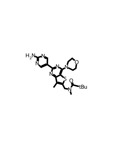 Cc1c(CN(C)C(=O)C(C)(C)C)sc2c(N3CCOCC3)nc(-c3cnc(N)nc3)nc12